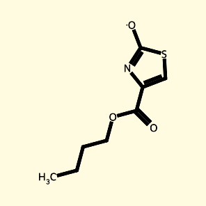 CCCCOC(=O)c1csc([O])n1